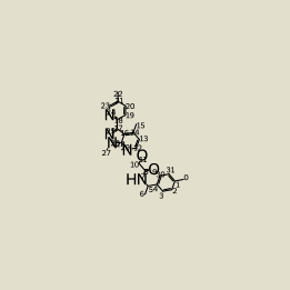 Cc1ccc(C(C)NC(=O)COc2cc(C)c3c(-c4ccc(C)cn4)nn(C)c3n2)cc1